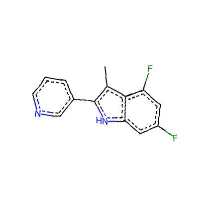 Cc1c(-c2cccnc2)[nH]c2cc(F)cc(F)c12